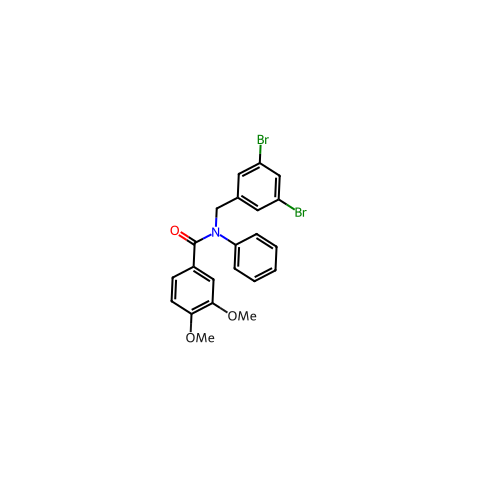 COc1ccc(C(=O)N(Cc2cc(Br)cc(Br)c2)c2ccccc2)cc1OC